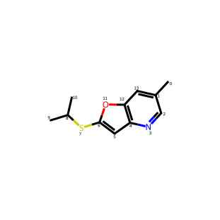 Cc1cnc2cc(SC(C)C)oc2c1